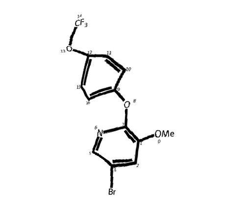 COc1cc(Br)cnc1Oc1ccc(OC(F)(F)F)cc1